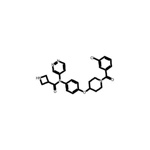 O=C(c1cccc(Cl)c1)N1CCC(Oc2ccc(N(C(=O)C3CNC3)c3ccnnc3)cc2)CC1